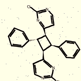 Clc1nccc([C@H]2[C@H](c3ccccc3)[C@@H](c3ccnc(Cl)n3)[C@H]2c2ccccc2)n1